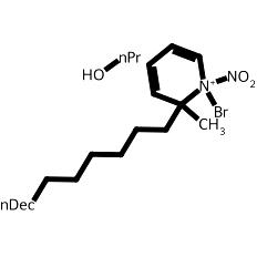 CCCCCCCCCCCCCCCCC1(C)C=CC=C[N+]1(Br)[N+](=O)[O-].CCCO